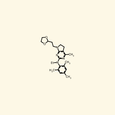 CCN(c1nc(C)c2c(n1)N(CCC1OCCO1)CC2)c1c(C)cc(C)cc1C